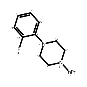 C[CH]CN1CCN(c2ccccc2F)CC1